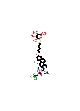 C[C@H](NC(=O)OCC(Cl)(Cl)Cl)[C@H]1CCC2C3CC=C4C[C@@H](OCCCCCCS[C@@H]5O[C@H](CO)[C@@H](O)[C@H](O)[C@@H]5O)CC[C@]4(C)C3CC[C@@]21C